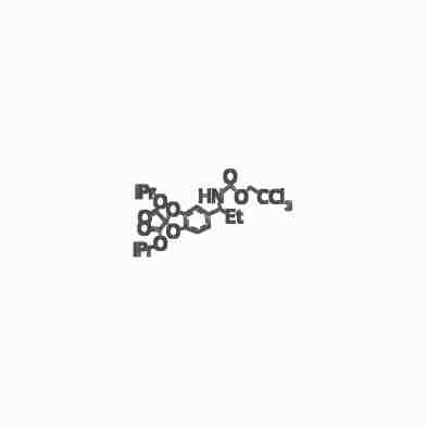 CCC(NC(=O)OCC(Cl)(Cl)Cl)c1ccc2c(c1)OC(C(=O)OC(C)C)(C(=O)OC(C)C)O2